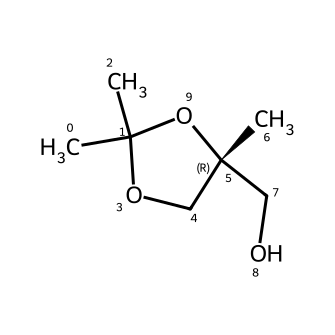 CC1(C)OC[C@@](C)(CO)O1